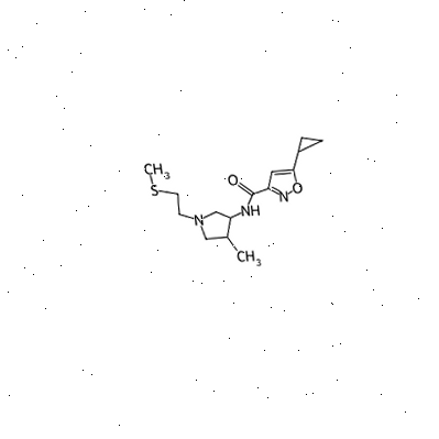 CSCCN1CC(C)C(NC(=O)c2cc(C3CC3)on2)C1